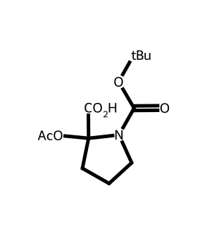 CC(=O)OC1(C(=O)O)CCCN1C(=O)OC(C)(C)C